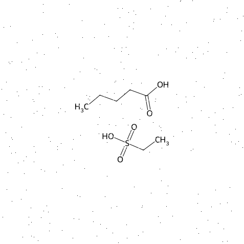 CCCCC(=O)O.CCS(=O)(=O)O